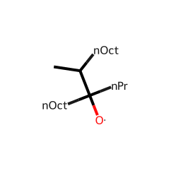 CCCCCCCCC(C)C([O])(CCC)CCCCCCCC